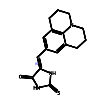 O=C1NC(=S)N/C1=C\c1cc2c3c(c1)CCCN3CCC2